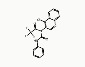 O=C(Nc1ccccc1)N(C(=O)C(F)(F)F)c1cnc2ccccc2c1Cl